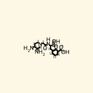 NC1CCN(CC(=O)NC2Cc3cccc(C(=O)O)c3OB2O)CC1N